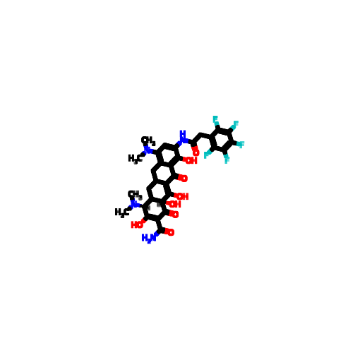 CN(C)c1cc(NC(=O)Cc2c(F)c(F)c(F)c(F)c2F)c(O)c2c1CC1CC3[C@H](N(C)C)C(O)=C(C(N)=O)C(=O)[C@@]3(O)C(O)=C1C2=O